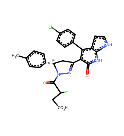 Cc1ccc([C@@H]2CC(c3c(-c4ccc(Cl)cc4)c4cc[nH]c4[nH]c3=O)=NN2C(=O)C(F)CC(=O)O)cc1